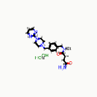 CCN(Cc1ccc(CN2CCN(c3ncccn3)CC2)cc1)C(=O)CCC(N)=O.Cl.Cl